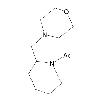 CC(=O)N1CCCCC1CN1CCOCC1